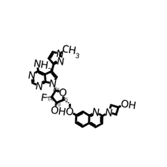 Cn1ccc(-c2cn([C@@H]3O[C@H](COc4ccc5ccc(N6CC(O)C6)nc5c4)[C@@H](O)[C@@H]3F)c3ncnc(N)c23)n1